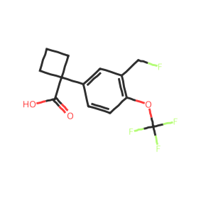 O=C(O)C1(c2ccc(OC(F)(F)F)c(CF)c2)CCC1